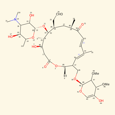 CC[C@H]1OC(=O)C[C@@H](O)[C@H](C)[C@@H](O[C@@H]2OC(C)[C@@H](O)C(N(C)C)C2O)[C@@H](CC=O)C[C@@H](C)C(=O)/C=C/C(C)=C/C1CO[C@@H]1OC=C(O)C(OC)C1OC